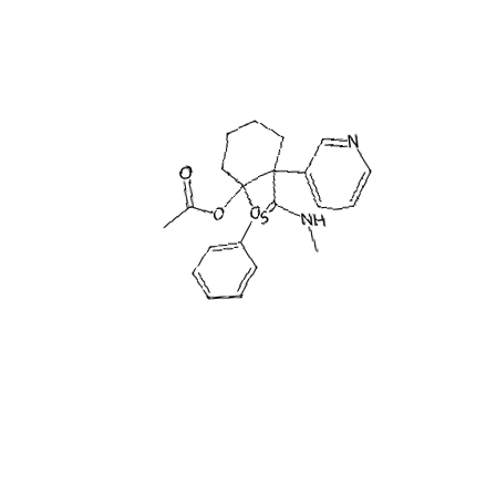 CNC(=S)C1(c2cccnc2)CCCCC1(OC(C)=O)Oc1ccccc1